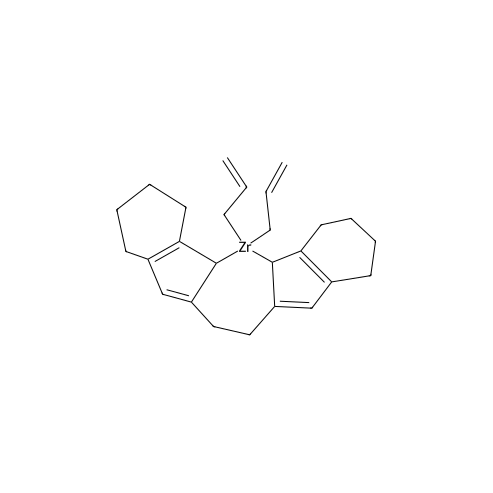 C=C[CH2][Zr]1([CH2]C=C)[CH]2C(=CC3=C2CCCC3)CCC2=CC3=C(CCCC3)[CH]21